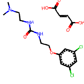 CN(C)CCNC(=O)NCCOc1cc(Cl)cc(Cl)c1.O=C(O)C=CC(=O)O